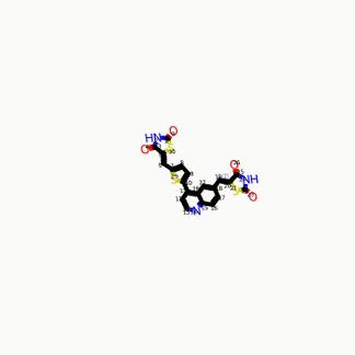 O=C1NC(=O)C(=Cc2ccc(-c3ccnc4ccc(/C=C5\SC(=O)NC5=O)cc34)s2)S1